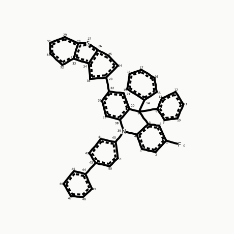 Fc1ccc2c(c1)C(c1ccccc1)(c1ccccc1)c1cc(-c3ccc4sc5ccccc5c4c3)ccc1N2c1ccc(-c2ccccc2)cc1